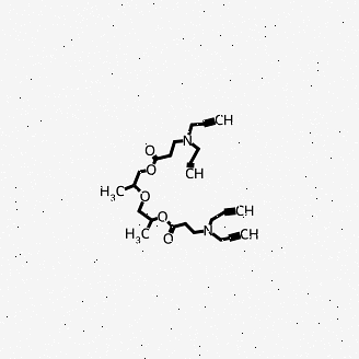 C#CCN(CC#C)CCC(=O)OCC(C)OCC(C)OC(=O)CCN(CC#C)CC#C